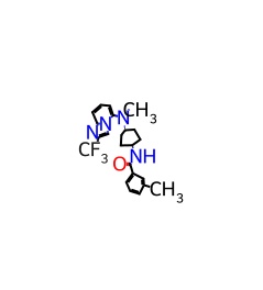 Cc1cccc(C(=O)N[C@H]2CC[C@@H](N(C)c3cccc4nc(C(F)(F)F)cn34)CC2)c1